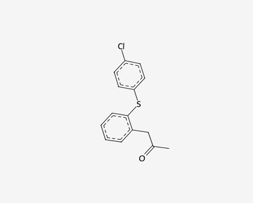 CC(=O)Cc1ccccc1Sc1ccc(Cl)cc1